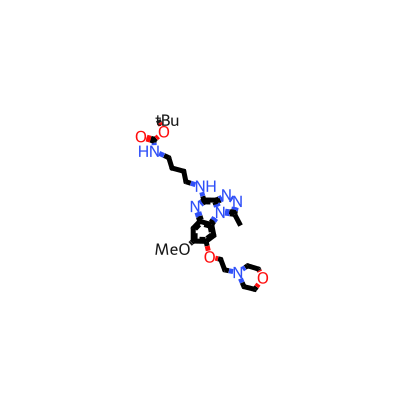 COc1cc2nc(NCCCCNC(=O)OC(C)(C)C)c3nnc(C)n3c2cc1OCCN1CCOCC1